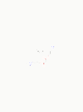 CCN(CC)CCCCOC(=O)CC(=O)OCCCCN(CC)CC.[NaH].[NaH]